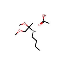 CC(=O)O.CCC[CH2][Sn][C](C)(COC)OC